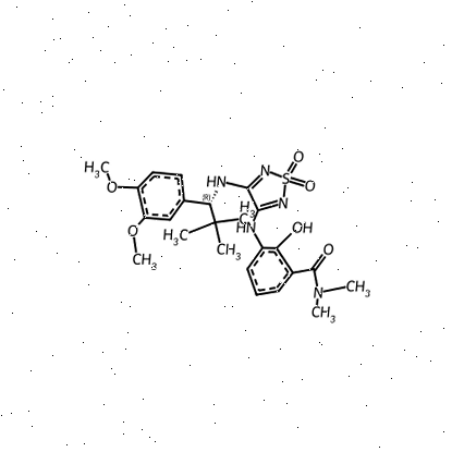 COc1ccc([C@H](NC2=NS(=O)(=O)N=C2Nc2cccc(C(=O)N(C)C)c2O)C(C)(C)C)cc1OC